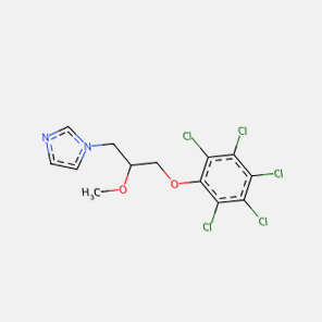 COC(COc1c(Cl)c(Cl)c(Cl)c(Cl)c1Cl)Cn1ccnc1